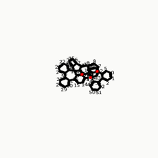 c1ccc2c(c1)-c1ccccc1N(c1ccc3c(c1)C1(c4ccccc4-c4ccccc4-3)c3ccccc3-c3cc4ccccc4cc31)c1ccccc1-2